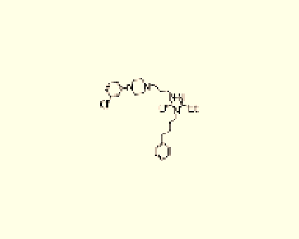 CCc1nn(CCCN2CCN(c3cccc(Cl)c3)CC2)c(=O)n1CCCCc1ccccc1